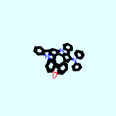 c1ccc(N(c2ccccc2)c2ccc3c4c5c6c7c(ccc6n6c8ccccc8c(cc4n4c8ccccc8c2c34)c56)oc2ccccc27)cc1